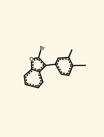 Cc1ccc(-c2c(Br)oc3ccccc23)cc1C